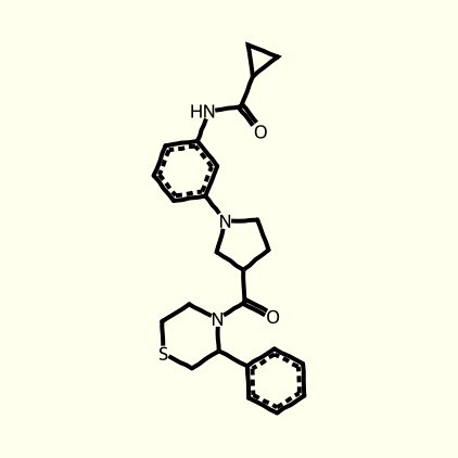 O=C(Nc1cccc(N2CCC(C(=O)N3CCSCC3c3ccccc3)C2)c1)C1CC1